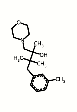 Cc1cccc(CC(C)(C)C(C)(O)CN2CCOCC2)c1